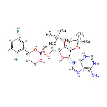 CC(C)(C)[Si](C)(C)O[C@@H]1[C@H](O[Si](C)(C)C(C)(C)C)[C@@H](COP2(=S)OCCC(c3cc(F)ccc3F)O2)O[C@H]1n1cnc2c(N)ncnc21